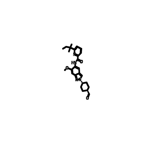 CCC(C)(C)c1cccc(C(=O)Nc2cc3cn([C@H]4CC[C@H](C=O)CC4)nc3cc2OC)n1